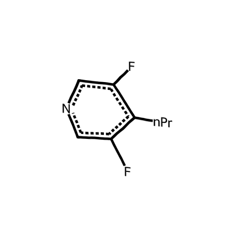 CCCc1c(F)cncc1F